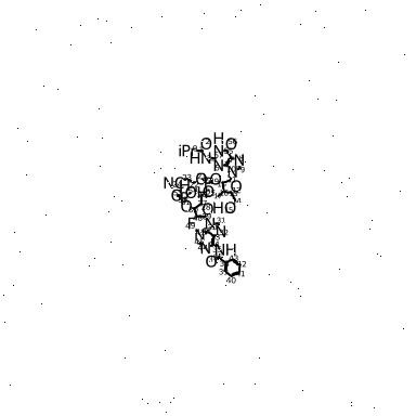 CC(C)C(=O)Nc1nc2c(ncn2C2OC(CO)C(C)C2OP(OCCC#N)OCC2OC(n3cnc4c(NC(=O)c5ccccc5)ncnc43)C(F)C2O[PH](=O)O)c(=O)[nH]1